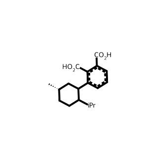 CC(C)C1CC[C@H](C)CC1c1cccc(C(=O)O)c1C(=O)O